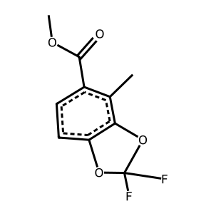 COC(=O)c1ccc2c(c1C)OC(F)(F)O2